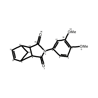 COc1ccc(N2C(=O)C3C4C=CC(C4)C3C2=O)cc1OC